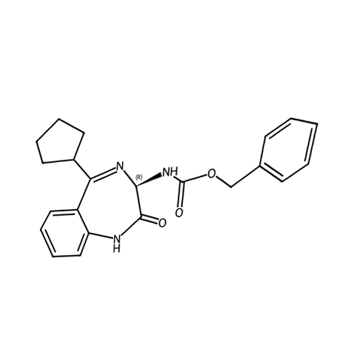 O=C(N[C@@H]1N=C(C2CCCC2)c2ccccc2NC1=O)OCc1ccccc1